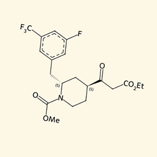 CCOC(=O)CC(=O)[C@H]1CCN(C(=O)OC)[C@H](Cc2cc(F)cc(C(F)(F)F)c2)C1